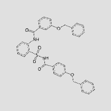 O=C(Nc1ccccc1S(=O)(=O)NC(=O)c1ccc(OCc2ccccc2)cc1)c1cccc(OCc2ccccc2)c1